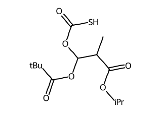 CC(C)OC(=O)C(C)C(OC(=O)S)OC(=O)C(C)(C)C